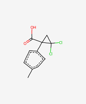 Cc1ccc(C2(C(=O)O)CC2(Cl)Cl)cc1